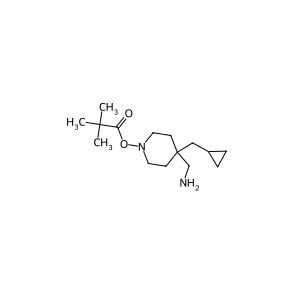 CC(C)(C)C(=O)ON1CCC(CN)(CC2CC2)CC1